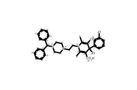 CCC1(c2cccc(Cl)c2)C(C(=O)O)=C(C)N(CCN2CCN(C(c3ccccc3)c3ccccc3)CC2)C(C)=C1C(=O)O